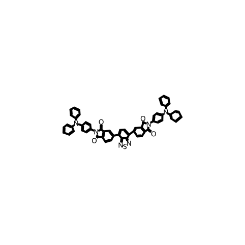 O=C1c2ccc(-c3ccc(-c4ccc5c(c4)C(=O)N(c4ccc(N(c6ccccc6)c6ccccc6)cc4)C5=O)c4nsnc34)cc2C(=O)N1c1ccc(N(c2ccccc2)c2ccccc2)cc1